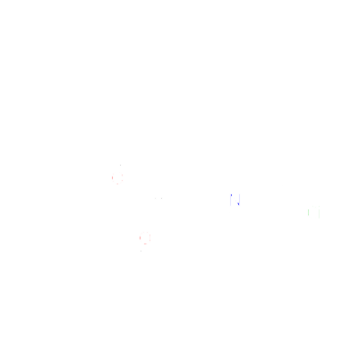 C=COC(=O)c1cccc(Cl)n1